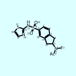 CC(=O)N(F)C1Cc2ccc(S(=O)(=O)Nc3nccs3)cc2C1